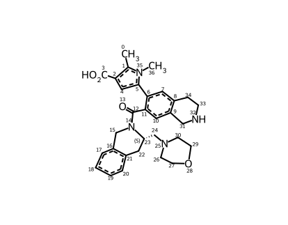 Cc1c(C(=O)O)cc(-c2cc3c(cc2C(=O)N2Cc4ccccc4C[C@H]2CN2CCOCC2)CNCC3)n1C